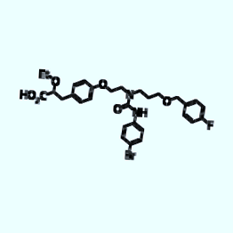 CCOC(Cc1ccc(OCCN(CCCOCc2ccc(F)cc2)C(=O)Nc2ccc(Br)cc2)cc1)C(=O)O